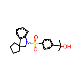 CC(C)(O)c1ccc(S(=O)(=O)N2CC3(CCCC3)c3ccccc32)cc1